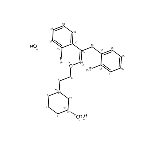 Cl.O=C(O)[C@@H]1CCCN(CCON=C(Cc2ccccc2F)c2ccccc2F)C1